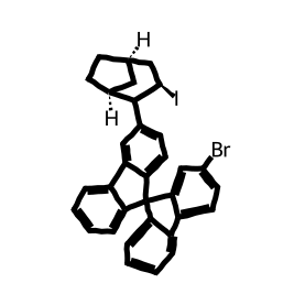 Brc1ccc2c(c1)C1(c3ccccc3-c3cc(C4[C@H]5CC[C@H](C5)C[C@H]4I)ccc31)c1ccccc1-2